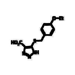 CCOc1ccc(CSc2[nH]nnc2C(=O)O)cc1